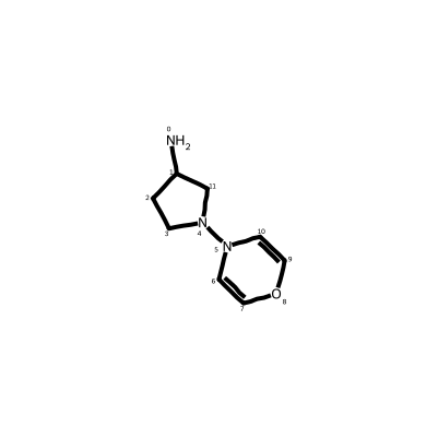 NC1CCN(N2C=COC=C2)C1